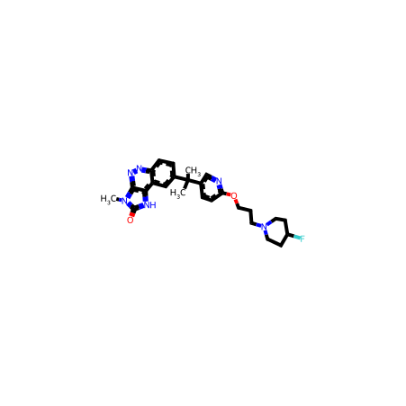 Cn1c(=O)[nH]c2c3cc(C(C)(C)c4ccc(OCCCN5CCC(F)CC5)nc4)ccc3nnc21